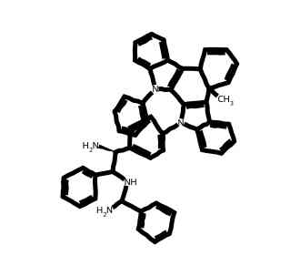 CC12C=CC=CC1c1c(n(-c3ccccc3)c3ccccc13)-c1c2c2ccccc2n1-c1ccc([C@H](N)C(NC(N)c2ccccc2)c2ccccc2)cc1